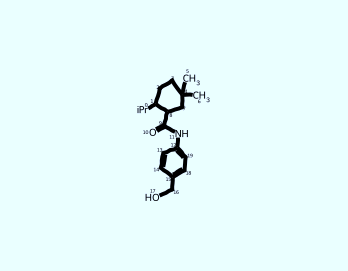 CC(C)C1CCC(C)(C)CC1C(=O)Nc1ccc(CO)cc1